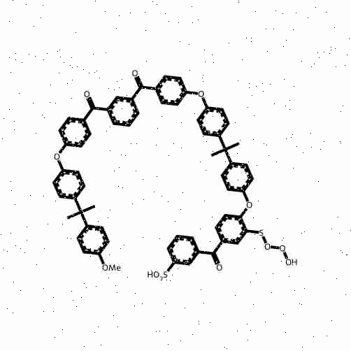 COc1ccc(C(C)(C)c2ccc(Oc3ccc(C(=O)c4cccc(C(=O)c5ccc(Oc6ccc(C(C)(C)c7ccc(Oc8ccc(C(=O)c9cccc(S(=O)(=O)O)c9)cc8SOOO)cc7)cc6)cc5)c4)cc3)cc2)cc1